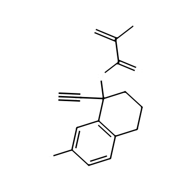 C#CC1(OC(=O)C(=C)C)CCCc2ccc(F)cc21